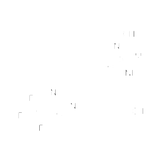 C#CCNS(=O)(=O)N(C)Cc1ccc(-c2noc(C(F)(F)F)n2)cc1